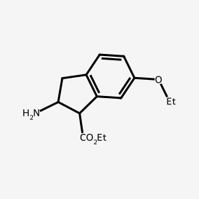 CCOC(=O)C1c2cc(OCC)ccc2CC1N